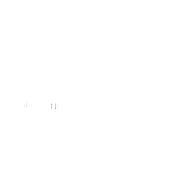 Cc1ccc([C@@H](C)NC(C)C)cc1